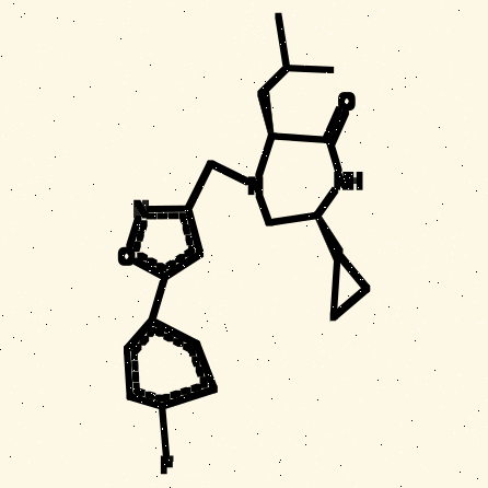 CC(C)C[C@H]1C(=O)N[C@@H](C2CC2)CN1Cc1cc(-c2ccc(F)cc2)on1